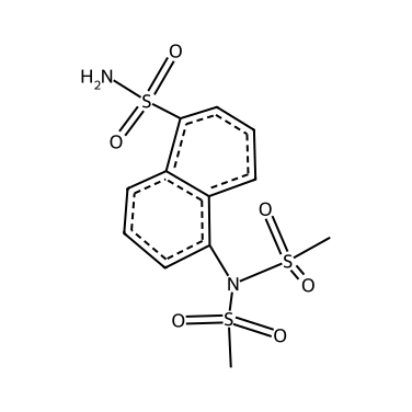 CS(=O)(=O)N(c1cccc2c(S(N)(=O)=O)cccc12)S(C)(=O)=O